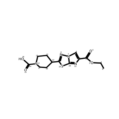 CCOC(=O)c1cn2nc(C3CCN(C(=O)O)CC3)sc2n1